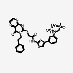 CS(=O)(=O)CN(c1cccc(-c2csc(NC(=O)CSc3nc4nccnc4c(=O)n3CCc3ccccc3)n2)c1)[SH](=O)=O